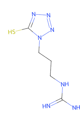 N=C(N)NCCCn1nnnc1S